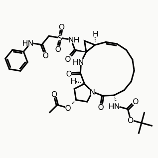 CC(=O)O[C@@H]1C[C@H]2C(=O)N[C@]3(C(=O)NS(=O)(=O)CC(=O)Nc4ccccc4)C[C@H]3/C=C\CCCCC[C@H](NC(=O)OC(C)(C)C)C(=O)N2C1